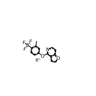 Cc1cc(Oc2nccc3occc23)ccc1[B-](F)(F)F.[K+]